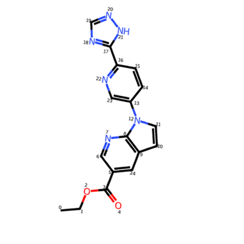 CCOC(=O)c1cnc2c(ccn2-c2ccc(-c3ncn[nH]3)nc2)c1